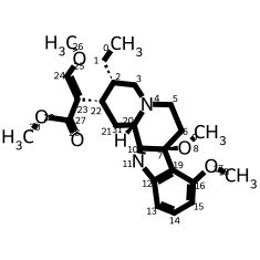 CC[C@@H]1CN2CC[C@@]3(OC)C(=Nc4cccc(OC)c43)[C@@H]2C[C@@H]1/C(=C\OC)C(=O)OC